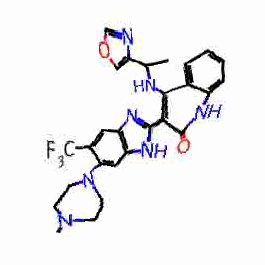 CC(Nc1c(-c2nc3cc(C(F)(F)F)c(N4CCN(C)CC4)cc3[nH]2)c(=O)[nH]c2ccccc12)c1cocn1